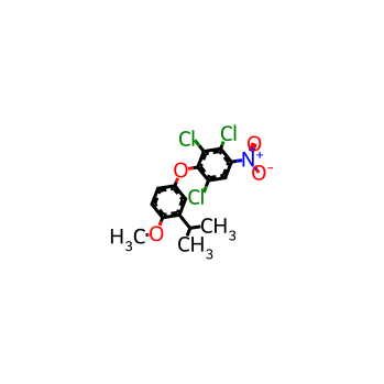 COc1ccc(Oc2c(Cl)cc([N+](=O)[O-])c(Cl)c2Cl)cc1C(C)C